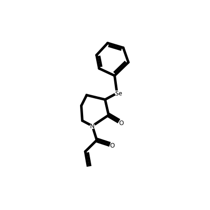 C=CC(=O)N1CCCC([Se]c2ccccc2)C1=O